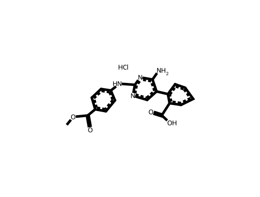 COC(=O)c1ccc(Nc2ncc(-c3ccccc3C(=O)O)c(N)n2)cc1.Cl